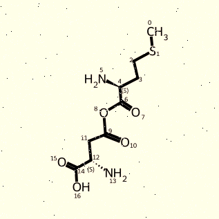 CSCC[C@H](N)C(=O)OC(=O)C[C@H](N)C(=O)O